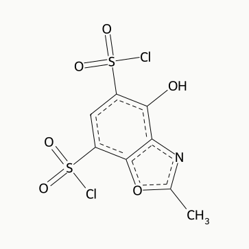 Cc1nc2c(O)c(S(=O)(=O)Cl)cc(S(=O)(=O)Cl)c2o1